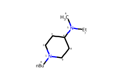 CCCCN1CCC(N(C)CC)CC1